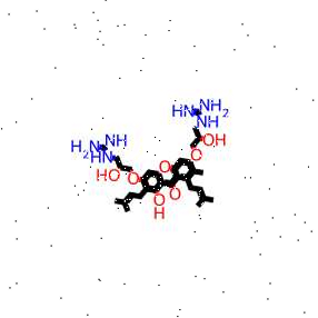 CC(C)=CCc1c(OCC(O)CNC(=N)N)cc2oc3cc(OCC(O)CNC(=N)N)c(C)c(CC=C(C)C)c3c(=O)c2c1O